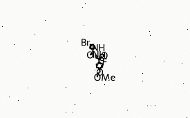 COCOc1ccc(C(=C=O)CNC(=O)c2cc(Br)c[nH]2)c(F)c1